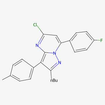 CCCCc1nn2c(-c3ccc(F)cc3)cc(Cl)nc2c1-c1ccc(C)cc1